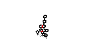 CC1(C)c2ccccc2-c2c(-c3ccccc3N(c3ccc(-c4ccc(-c5ccccc5)cc4)cc3)c3ccc(-c4ccccc4)cc3-c3ccccc3)cccc21